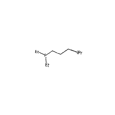 CCP(CC)CCCC(C)C